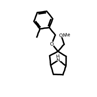 COCC1(OCc2ccccc2C)CC2CCC(C1)N2